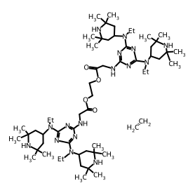 C=C.CCN(c1nc(NCC(=O)OCCOC(=O)CNc2nc(N(CC)C3CC(C)(C)NC(C)(C)C3)nc(N(CC)C3CC(C)(C)NC(C)(C)C3)n2)nc(N(CC)C2CC(C)(C)NC(C)(C)C2)n1)C1CC(C)(C)NC(C)(C)C1